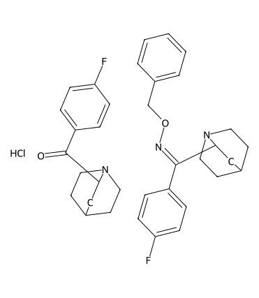 Cl.Fc1ccc(/C(=N/OCc2ccccc2)C2CC3CCN2CC3)cc1.O=C(c1ccc(F)cc1)C1CC2CCN1CC2